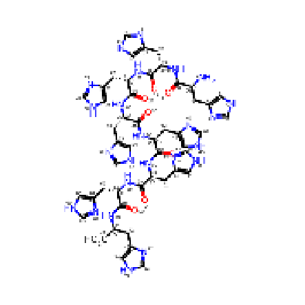 N[C@@H](Cc1c[nH]cn1)C(=O)N[C@@H](Cc1c[nH]cn1)C(=O)N[C@@H](Cc1c[nH]cn1)C(=O)N[C@@H](Cc1c[nH]cn1)C(=O)N[C@@H](Cc1c[nH]cn1)C(=O)N[C@@H](Cc1c[nH]cn1)C(=O)N[C@@H](Cc1c[nH]cn1)C(=O)N[C@@H](Cc1c[nH]cn1)C(=O)O